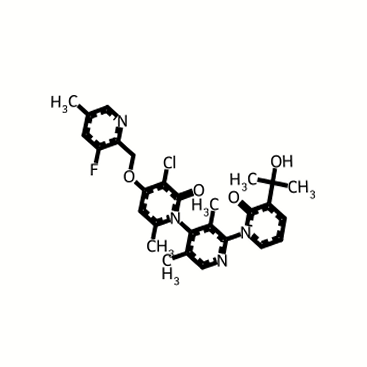 Cc1cnc(COc2cc(C)n(-c3c(C)cnc(-n4cccc(C(C)(C)O)c4=O)c3C)c(=O)c2Cl)c(F)c1